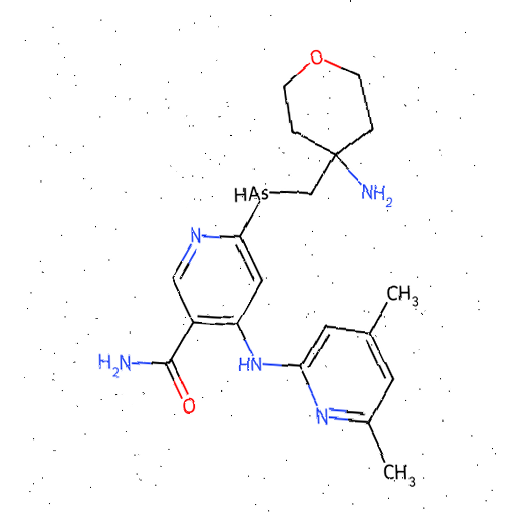 Cc1cc(C)nc(Nc2cc([AsH]CC3(N)CCOCC3)ncc2C(N)=O)c1